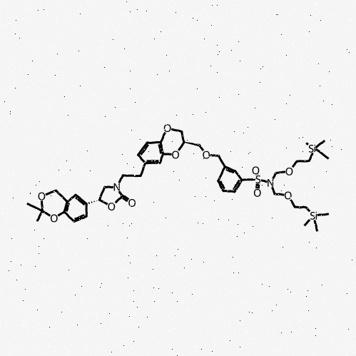 CC1(C)OCc2cc([C@@H]3CN(CCc4ccc5c(c4)O[C@H](COCc4cccc(S(=O)(=O)N(COCC[Si](C)(C)C)COCC[Si](C)(C)C)c4)CO5)C(=O)O3)ccc2O1